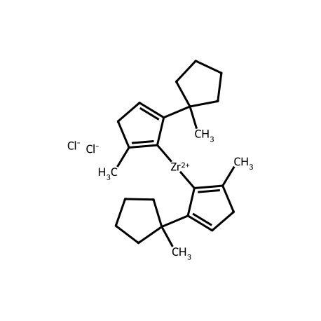 CC1=[C]([Zr+2][C]2=C(C)CC=C2C2(C)CCCC2)C(C2(C)CCCC2)=CC1.[Cl-].[Cl-]